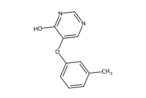 Cc1cccc(Oc2cncnc2O)c1